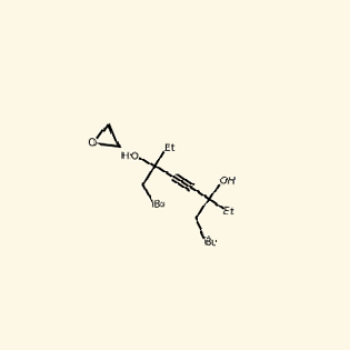 C1CO1.CCC(C)CC(O)(C#CC(O)(CC)CC(C)CC)CC